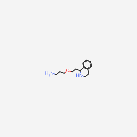 NCCCOCCC1NCCc2ccccc21